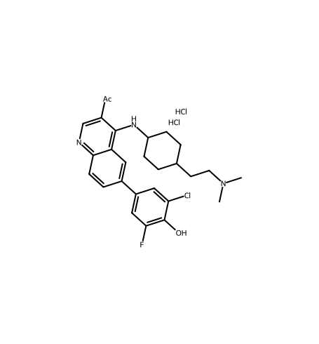 CC(=O)c1cnc2ccc(-c3cc(F)c(O)c(Cl)c3)cc2c1NC1CCC(CCN(C)C)CC1.Cl.Cl